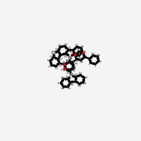 c1ccc(-c2cccc(-c3nc(-c4cccc5oc6ccc7c8ccccc8n(-c8ccccc8)c7c6c45)nc(-n4c5ccccc5c5ccccc54)n3)c2)cc1